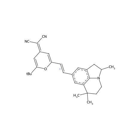 CC1Cc2cc(/C=C/C3=CC(=C(C#N)C#N)C=C(C(C)(C)C)O3)cc3c2N1CCC3(C)C